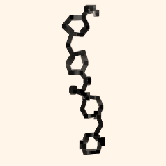 O=C(Oc1ccc(Cc2ccc(C(F)(F)F)cc2)cc1)N1CCN(Cc2cnccn2)CC1